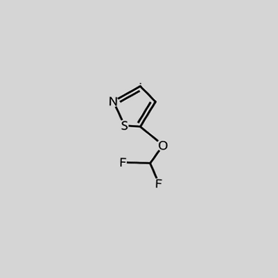 FC(F)Oc1c[c]ns1